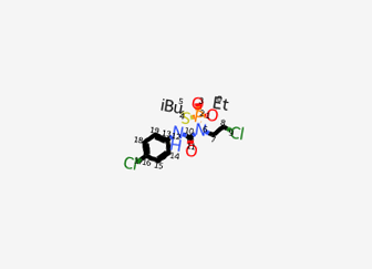 CCOP(=O)(SC(C)CC)N(CCCl)C(=O)Nc1ccc(Cl)cc1